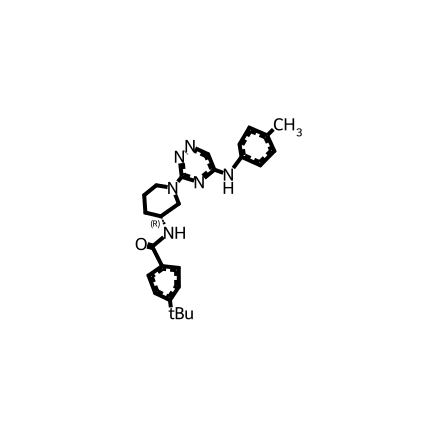 Cc1ccc(Nc2cnnc(N3CCC[C@@H](NC(=O)c4ccc(C(C)(C)C)cc4)C3)n2)cc1